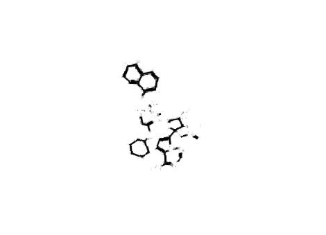 C=NC[C@@]1(c2ccc3c(N)ncnn23)O[C@H](COP(=O)(N[C@@H](C)C(=O)OC2CCCCC2)Oc2cccc3ccccc23)[C@@H](O)[C@H]1O